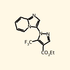 CCOC(=O)c1cnn(-c2cnc3ccccn23)c1C(F)(F)F